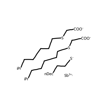 CC(C)CCCCCSCC(=O)[O-].CC(C)CCCCCSCC(=O)[O-].CCCCCCCCCCCC[S-].[Sb+3]